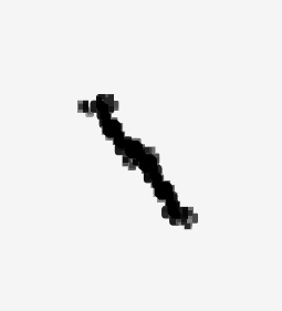 C=C(C)C(=O)OCOc1ccc(C=CC(=O)Oc2ccc(C(c3ccc(OC(=O)C=Cc4ccc(OCOC(=O)C(=C)C)cc4)cc3)(C(F)(F)F)C(F)(F)F)cc2)cc1